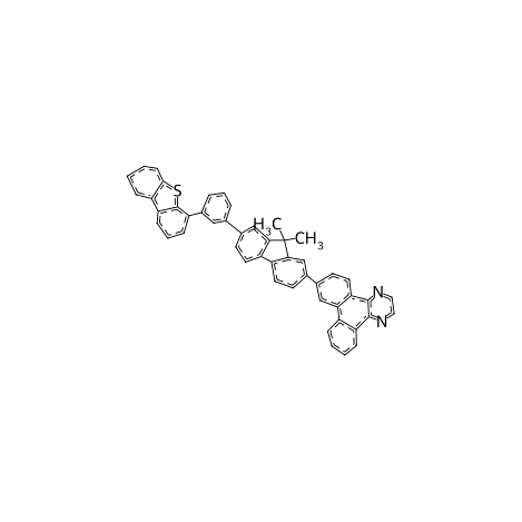 CC1(C)c2cc(-c3cccc(-c4cccc5c4sc4ccccc45)c3)ccc2-c2ccc(-c3ccc4c(c3)c3ccccc3c3nccnc43)cc21